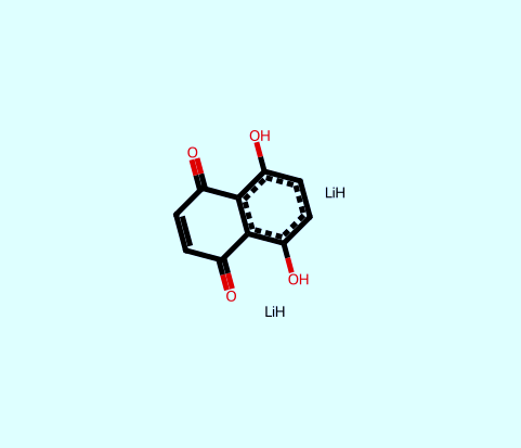 O=C1C=CC(=O)c2c(O)ccc(O)c21.[LiH].[LiH]